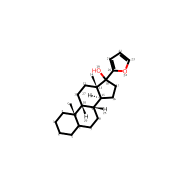 C[C@]12CCCCC1CC[C@@H]1[C@H]2CC[C@@]2(C)[C@H]1CCC2(O)c1ccco1